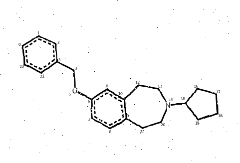 c1ccc(COc2ccc3c(c2)CCN(C2CCCC2)CC3)cc1